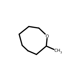 CC1CCCCCCO1